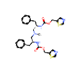 CCN(C[C@H](Cc1ccccc1)NC(=O)OCc1cncs1)C[C@H](Cc1ccccc1)NC(=O)OCc1cncs1